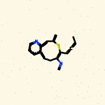 C=N/C1=C(\C=C=CC)SC(=C)/C=c2/nccc/c2=C/C1